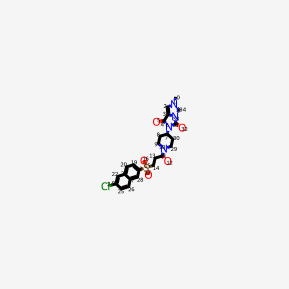 CN1C=C2C(=O)N(C3CCN(C(=O)CCS(=O)(=O)c4ccc5cc(Cl)ccc5c4)CC3)C(=O)N2C1